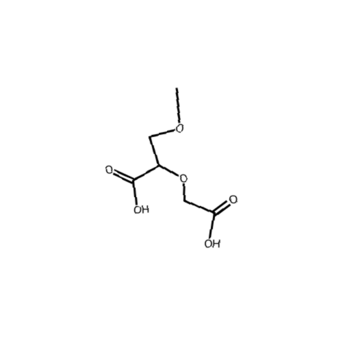 COCC(OCC(=O)O)C(=O)O